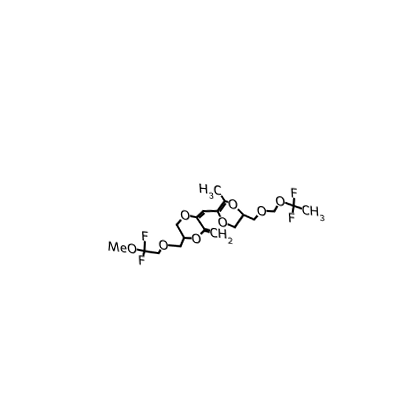 C=C1OC(COCC(F)(F)OC)CO/C1=C/C1=C(C)OC(COCOC(C)(F)F)CO1